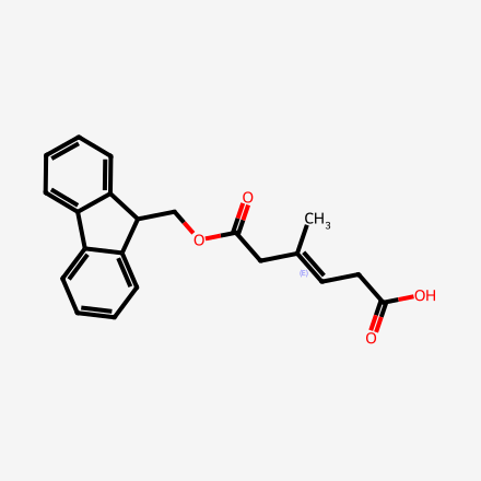 C/C(=C\CC(=O)O)CC(=O)OCC1c2ccccc2-c2ccccc21